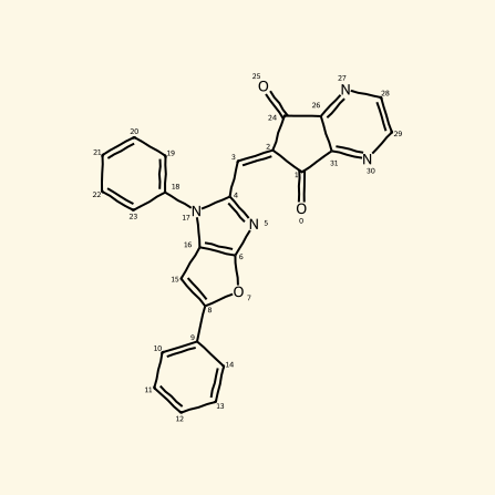 O=C1C(=Cc2nc3oc(-c4ccccc4)cc3n2-c2ccccc2)C(=O)c2nccnc21